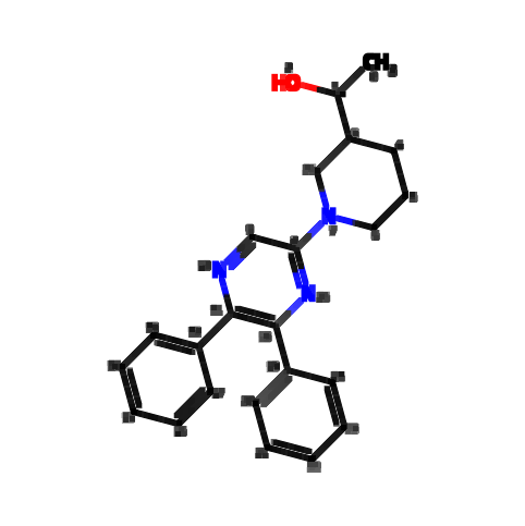 C[C](O)C1CCCN(c2cnc(-c3ccccc3)c(-c3ccccc3)n2)C1